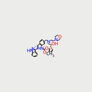 Cc1ccsc1OC(=O)Nc1cc(CN(CCO)CCN2CCOCC2)ccc1/C=C/c1n[nH]c2ccccc12